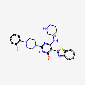 O=c1[nH]c(N2CCN(c3ccccc3F)CC2)nc(N[C@@H]2CCCNC2)c1-c1nc2ccccc2s1